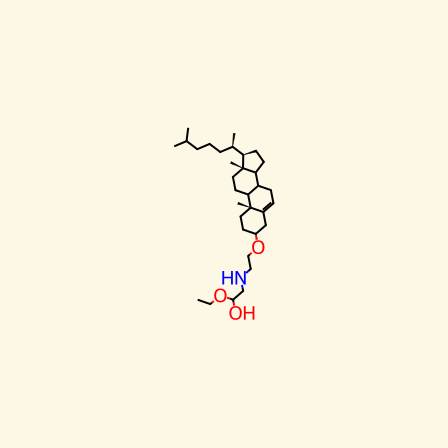 CCOC(O)CNCCO[C@H]1CC[C@@]2(C)C(=CCC3C2CC[C@@]2(C)C3CC[C@@H]2[C@H](C)CCCC(C)C)C1